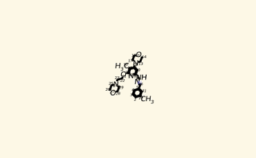 Cc1cccc(/C=N/Nc2cc(N3CCOCC3)c(C)c(OCCN3CCOCC3)n2)c1